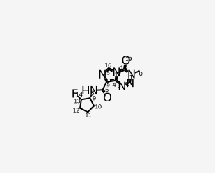 Cn1nnc2c(C(=O)N[C@H]3CCCC3F)ncn2c1=O